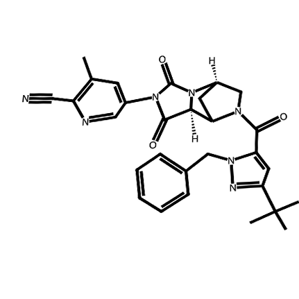 Cc1cc(N2C(=O)[C@@H]3C4C[C@H](CN4C(=O)c4cc(C(C)(C)C)nn4Cc4ccccc4)N3C2=O)cnc1C#N